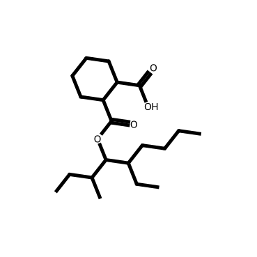 CCCCC(CC)C(OC(=O)C1CCCCC1C(=O)O)C(C)CC